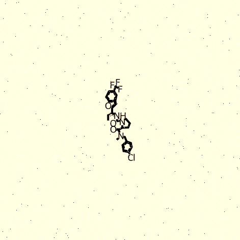 CC[C@H](NC(=O)N1CCCC1C(=O)N(C)Cc1ccc(Cl)cc1)c1cc2cc(C(F)(F)F)ccc2o1